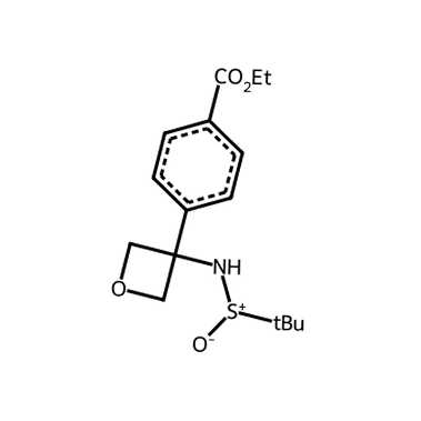 CCOC(=O)c1ccc(C2(N[S+]([O-])C(C)(C)C)COC2)cc1